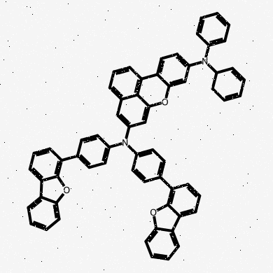 C1=CCC(N(c2ccccc2)c2ccc3c(c2)Oc2cc(N(c4ccc(-c5cccc6c5oc5ccccc56)cc4)c4ccc(-c5cccc6c5oc5ccccc56)cc4)cc4cccc-3c24)C=C1